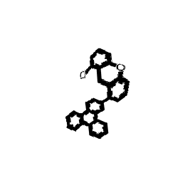 Clc1cccc2c1Cc1c(cccc1-c1ccc3c4ccccc4c4ccccc4c3c1)O2